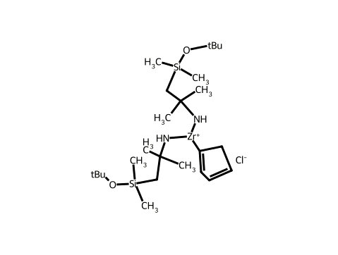 CC(C)(C[Si](C)(C)OC(C)(C)C)[NH][Zr+]([NH]C(C)(C)C[Si](C)(C)OC(C)(C)C)[C]1=CC=CC1.[Cl-]